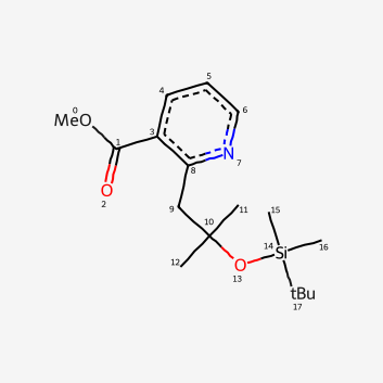 COC(=O)c1cccnc1CC(C)(C)O[Si](C)(C)C(C)(C)C